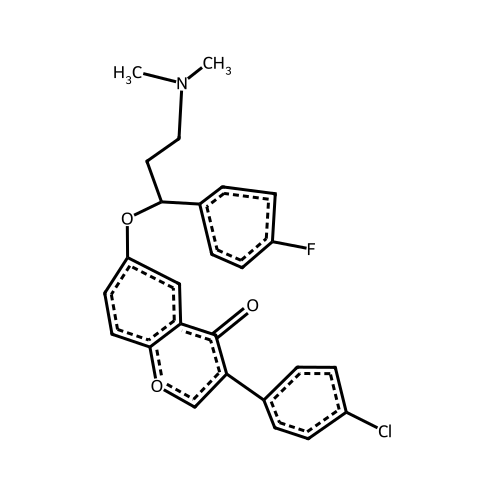 CN(C)CCC(Oc1ccc2occ(-c3ccc(Cl)cc3)c(=O)c2c1)c1ccc(F)cc1